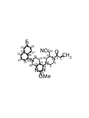 C=CC(=O)N1CCN(c2nc(OC)nc3c2CCN(c2cccc4cc(F)ccc24)C3)CC1CC#N